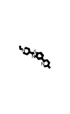 CCN1CCC(c2nc3cc(C4=NCC(C)CC4)ccc3s2)CC1